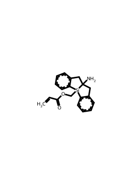 C=CC(=O)OC[Si]12c3ccccc3CC1(N)Cc1ccccc12